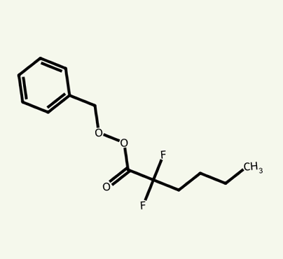 CCCCC(F)(F)C(=O)OOCc1ccccc1